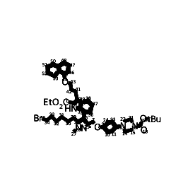 CCOC(=O)c1[nH]c2c(-c3c(COc4ccc(N5CCN(C(=O)OC(C)(C)C)CC5)cc4)nn(C)c3CCCCCCBr)cccc2c1CCCOc1cccc2ccccc12